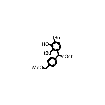 CCCCCCCCC(c1ccc(COC)cc1)c1ccc(C(C)(C)C)c(O)c1C(C)(C)C